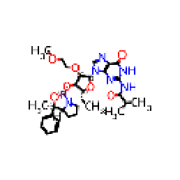 CC[C@H]1O[C@@H](n2cnc3c(=O)[nH]c(NC(=O)C(C)C)nc32)[C@@H](OCCOC)C1O[P@@]1O[C@](C)(c2ccccc2)[C@@H]2CCCN21